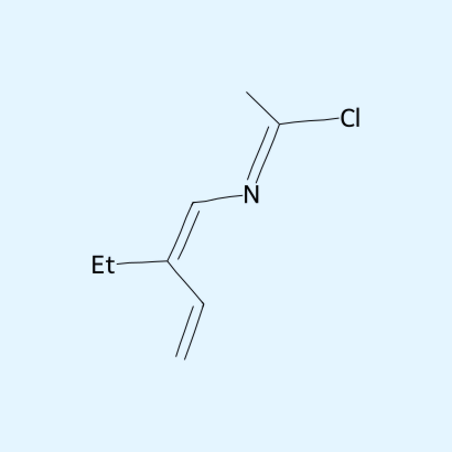 C=C/C(=C\N=C(/C)Cl)CC